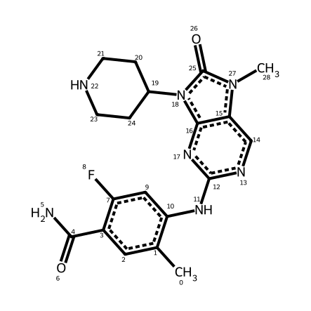 Cc1cc(C(N)=O)c(F)cc1Nc1ncc2c(n1)n(C1CCNCC1)c(=O)n2C